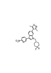 Cc1noc(C)c1-c1ccc2c(-c3ccc([N+](=O)[O-])nc3)cn(CC3CCC(F)(F)CC3)c2c1